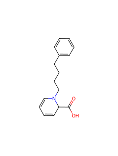 O=C(O)C1C=CC=CN1CCCCc1ccccc1